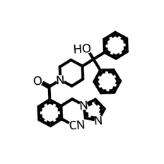 N#Cc1cccc(C(=O)N2CCC(C(O)(c3ccccc3)c3ccccc3)CC2)c1Cn1ccnc1